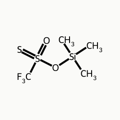 C[Si](C)(C)OS(=O)(=S)C(F)(F)F